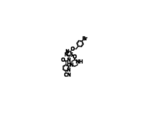 N#Cc1ccc(C(=O)Nc2nnc(OCc3ccc(Br)cc3)s2)c(N2CCNC(=O)C2)n1